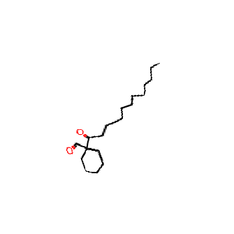 CCCCCCCCCCCC(=O)C1(C=O)CCCCC1